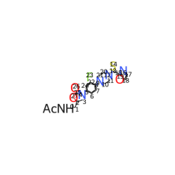 CC(=O)NCC1CN(c2ccc(N3CCN(C(=S)c4ncco4)CC3)c(F)c2)C(=O)O1